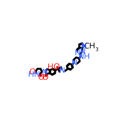 Cn1ccc2cnc(NC3CCN(c4ccc(CN5CC(O)(c6ccc7c(c6)CN(C6CCC(=O)NC6=O)C7=O)C5)cc4)CC3)nc21